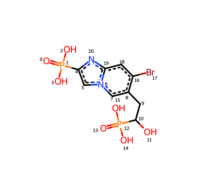 O=P(O)(O)c1cn2cc(CC(O)P(=O)(O)O)c(Br)cc2n1